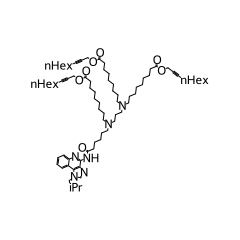 CCCCCCC#CCOC(=O)CCCCCCCCN(CCCCCCCCC(=O)OCC#CCCCCCC)CCCN(CCCCCCCCC(=O)OCC#CCCCCCC)CCCCCC(=O)Nc1nc2ccccc2c2c1ncn2CC(C)C